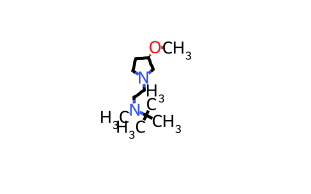 CO[C@H]1CCN(CCN(C)C(C)(C)C)C1